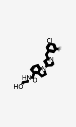 O=C(NCCO)c1cccc2c1CCN2c1ccnc(Cc2cc(F)cc(Cl)c2)c1